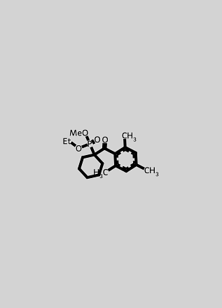 CCOP(=O)(OC)C1(C(=O)c2c(C)cc(C)cc2C)CCCCC1